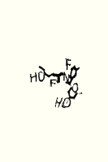 C=C/C(O)=C\C=C(/CF)Cn1cc([C@H]2C[C@@H](O)C[C@@H](C)O2)c2cc(C)cc(F)c21